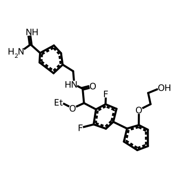 CCOC(C(=O)NCc1ccc(C(=N)N)cc1)c1c(F)cc(-c2ccccc2OCCO)cc1F